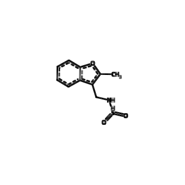 Cc1oc2ccccc2c1CN[SH](=O)=O